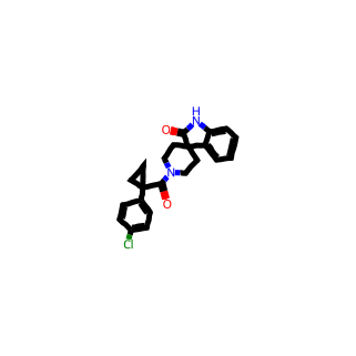 O=C(N1CCC2(CC1)C(=O)Nc1ccccc12)C1(c2ccc(Cl)cc2)CC1